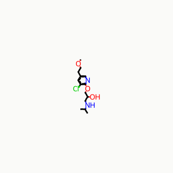 COCCc1cnc(OCC(O)CNC(C)C)c(Cl)c1